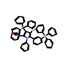 Cc1c([Si](c2ccccc2)(c2ccccc2)c2ccccc2)c(-c2ccccc2)n(-c2ccccc2)c1-c1cccc([Si](c2ccccc2)(c2ccccc2)c2ccccc2)c1